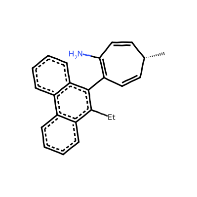 CCc1c(C2=C(N)C=C[C@H](C)C=C2)c2ccccc2c2ccccc12